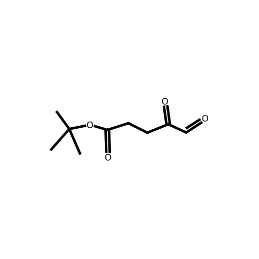 CC(C)(C)OC(=O)CCC(=O)C=O